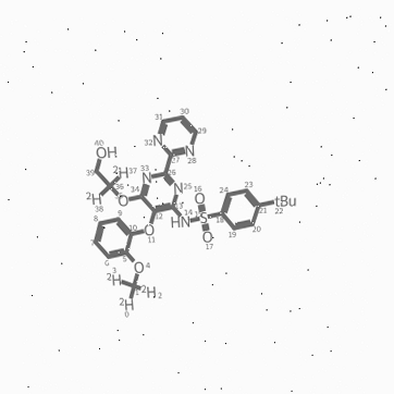 [2H]C([2H])([2H])Oc1ccccc1Oc1c(NS(=O)(=O)c2ccc(C(C)(C)C)cc2)nc(-c2ncccn2)nc1OC([2H])([2H])CO